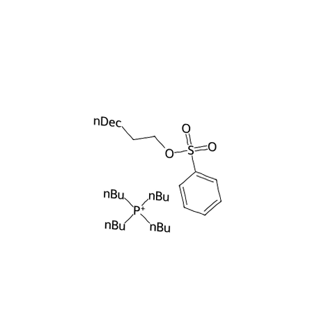 CCCCCCCCCCCCOS(=O)(=O)c1ccccc1.CCCC[P+](CCCC)(CCCC)CCCC